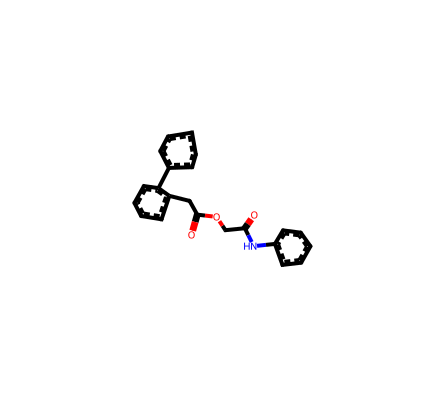 O=C(COC(=O)Cc1ccccc1-c1ccccc1)Nc1ccccc1